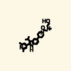 Cc1cc(-c2[nH]c3ccc(C4CCN(C(=O)CN(C)CCO)CC4)cc3c2C(C)C)cc(C)n1